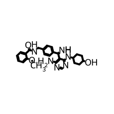 COc1ccccc1C(=O)NCc1ccc(C(=N)c2c(N)ncnc2NC2CCC(O)CC2)cc1